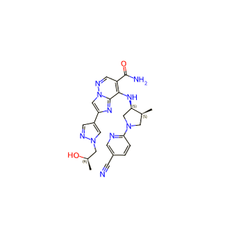 C[C@@H](O)Cn1cc(-c2cn3ncc(C(N)=O)c(N[C@@H]4CN(c5ccc(C#N)cn5)C[C@@H]4C)c3n2)cn1